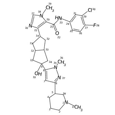 CN1CCCC(c2cc(C3(O)CC4CC(c5ncn(C)c5C(=O)Nc5ccc(F)c(Cl)c5)CC4C3)n(C)n2)C1